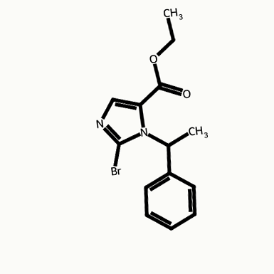 CCOC(=O)c1cnc(Br)n1C(C)c1ccccc1